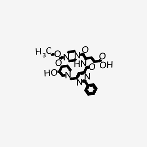 CCOC(=O)N1CCN(C(=O)C(CCC(=O)O)NC(=O)c2cc(CN3CCCC(O)C3)nc(-c3ccccc3)n2)CC1